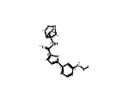 CCOc1cccc(-c2ccc(C(=O)NC3CN4CCC3CC4)s2)c1